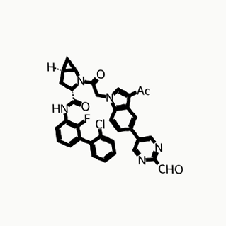 CC(=O)c1cn(CC(=O)N2C3C[C@@H]3C[C@H]2C(=O)Nc2cccc(-c3ccccc3Cl)c2F)c2ccc(-c3cnc(C=O)nc3)cc12